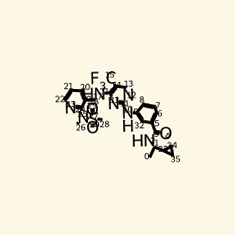 CC(NC(=O)c1cccc(Nc2ncc(C(F)(F)F)c(NCc3cccnc3N(C)S(C)(=O)=O)n2)c1)C1CC1